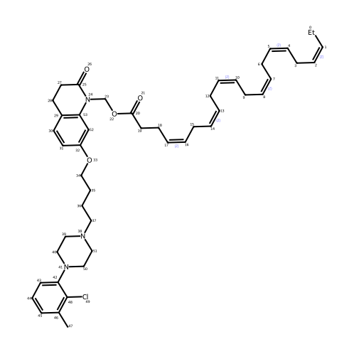 CC/C=C\C/C=C\C/C=C\C/C=C\C/C=C\C/C=C\CCC(=O)OCN1C(=O)CCc2ccc(OCCCCN3CCN(c4cccc(C)c4Cl)CC3)cc21